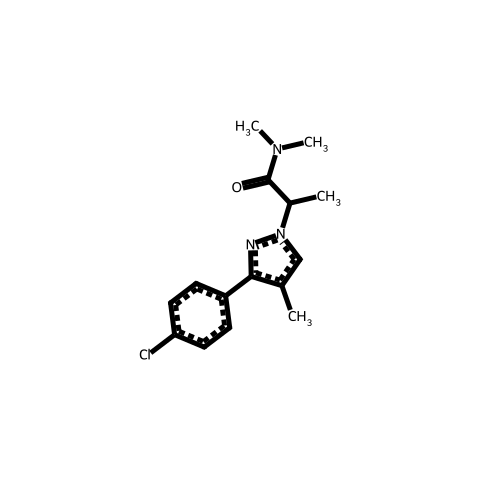 Cc1cn(C(C)C(=O)N(C)C)nc1-c1ccc(Cl)cc1